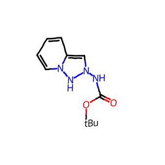 CC(C)(C)OC(=O)NN1C=C2C=CC=CN2N1